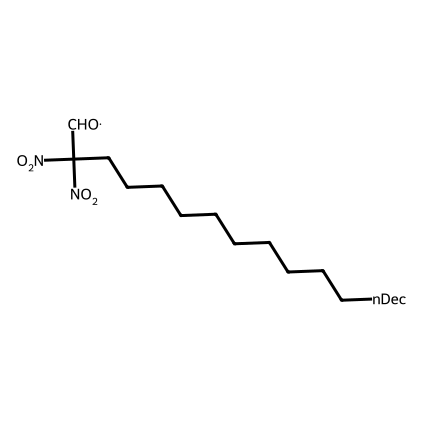 CCCCCCCCCCCCCCCCCCCCC([C]=O)([N+](=O)[O-])[N+](=O)[O-]